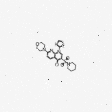 O=c1c(S(=O)(=O)N2CCCCC2)cn(-c2nccs2)c2nc(N3CCOCC3)ccc12